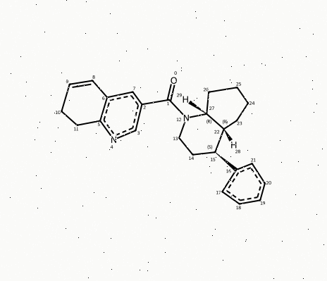 O=C(c1cnc2c(c1)C=CCC2)N1CC[C@H](c2ccccc2)[C@H]2CCCC[C@H]21